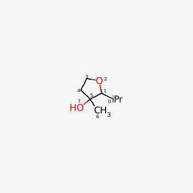 CC(C)C1OCCC1(C)O